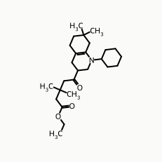 CCOC(=O)CC(C)(C)CC(=O)C1CC2=C(CC(C)(C)CC2)N(C2CCCCC2)C1